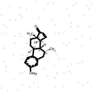 COc1ccc2c(c1)C[C@@H](C)[C@@H]1[C@@H]2CC[C@]2(C)C(=O)C=C[C@@H]12